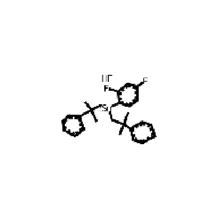 CC(C)([CH2][Sn]([CH2]C(C)(C)c1ccccc1)[c]1ccc(F)cc1F)c1ccccc1.F